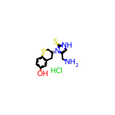 Cl.NCc1c[nH]c(=S)n1[C@H]1CSc2ccc(O)cc2C1